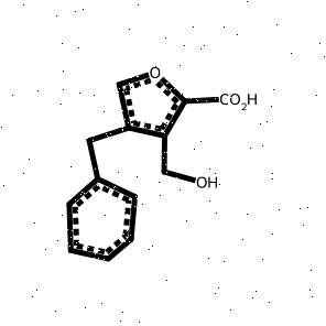 O=C(O)c1occ(Cc2ccccc2)c1CO